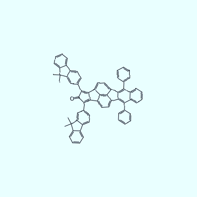 CC1(C)c2ccccc2-c2ccc(-c3c4c5ccc6c7c(-c8ccccc8)c8ccccc8c(-c8ccccc8)c7c7ccc(c-4c(-c4ccc8c(c4)C(C)(C)c4ccccc4-8)c3=O)c5c67)cc21